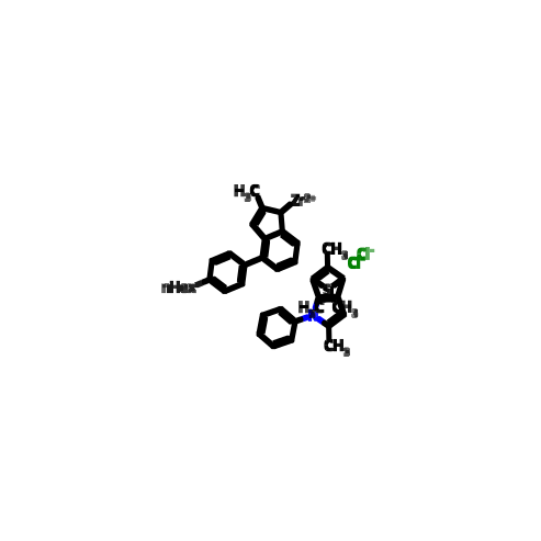 CC1=C2c3c(cc(C)n3-c3ccccc3)C1[Si]2(C)C.CCCCCCc1ccc(-c2cccc3c2C=C(C)[CH]3[Zr+2])cc1.[Cl-].[Cl-]